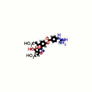 N=C(N)Nc1ccc(C(=O)Oc2ccc(CCC(=O)O)c(C3=NOC(CC(=O)O)(CC(O)O)C3)c2)cc1